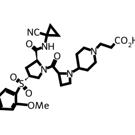 COc1ccccc1S(=O)(=O)[C@@H]1C[C@@H](C(=O)NC2(C#N)CC2)N(C(=O)C2CCN2C2CCN(CCC(=O)O)CC2)C1